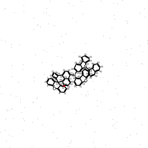 c1ccc2c(c1)Oc1ccccc1C21c2ccccc2-c2ccc(N(c3ccc4c5ccccc5n(-c5cccc6ccccc56)c4c3)c3cccc4oc5ccccc5c34)c3cccc1c23